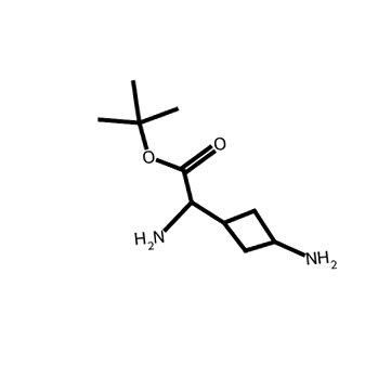 CC(C)(C)OC(=O)C(N)C1CC(N)C1